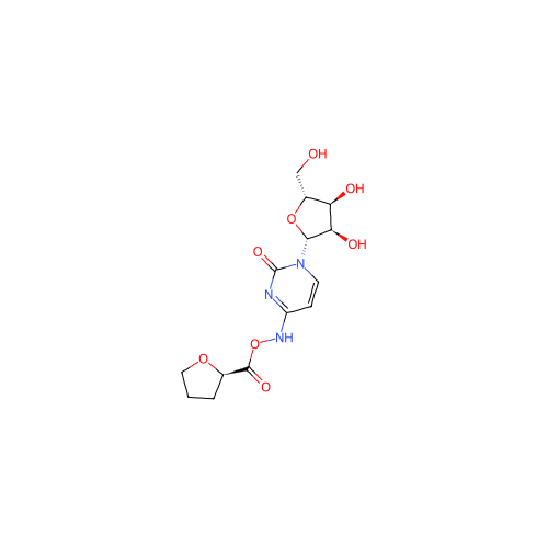 O=C(ONc1ccn([C@@H]2O[C@H](CO)[C@@H](O)[C@H]2O)c(=O)n1)[C@H]1CCCO1